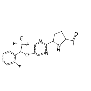 CC(=O)C1CCC(c2ncc(OC(c3ccccc3F)C(F)(F)F)cn2)N1